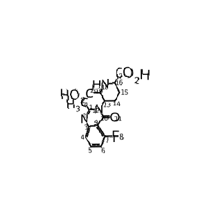 Cc1nc2cccc(F)c2c(=O)n1C1CCC(C(=O)O)NC1C(=O)O